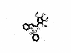 COc1cc(C(=O)c2cc3ccccc3n2S(=O)(=O)c2ccccc2)c(OC)c(OC)c1OC